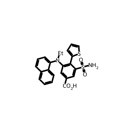 CCN(c1cc(C(=O)O)cc(S(N)(=O)=O)c1-c1cccs1)c1cccc2ccccc12